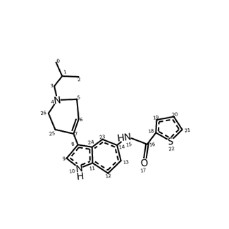 CC(C)CN1CC=C(c2c[nH]c3ccc(NC(=O)c4cccs4)cc23)CC1